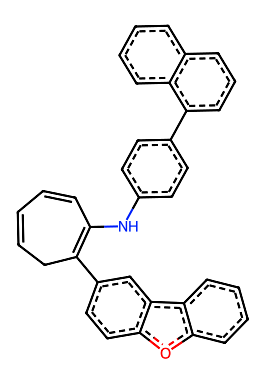 C1=CCC(c2ccc3oc4ccccc4c3c2)=C(Nc2ccc(-c3cccc4ccccc34)cc2)C=C1